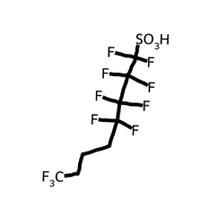 O=S(=O)(O)C(F)(F)C(F)(F)C(F)(F)C(F)(F)CCCC(F)(F)F